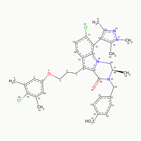 Cc1cc(OCCCc2c3n(c4c(-c5c(C)nn(C)c5C)c(Cl)ccc24)C[C@@H](C)N(Cc2ccc(C(=O)O)cc2)C3=O)cc(C)c1Cl